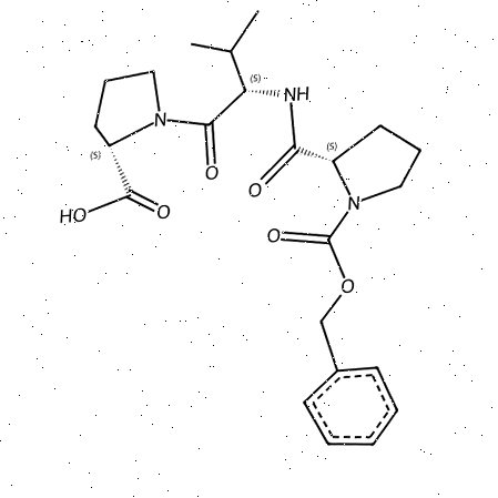 CC(C)[C@H](NC(=O)[C@@H]1CCCN1C(=O)OCc1ccccc1)C(=O)N1CCC[C@H]1C(=O)O